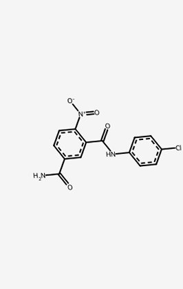 NC(=O)c1ccc([N+](=O)[O-])c(C(=O)Nc2ccc(Cl)cc2)c1